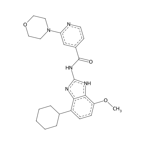 COc1ccc(C2CCCCC2)c2nc(NC(=O)c3ccnc(N4CCOCC4)c3)[nH]c12